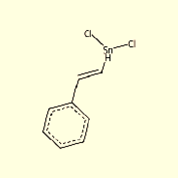 [Cl][SnH]([Cl])[CH]=Cc1ccccc1